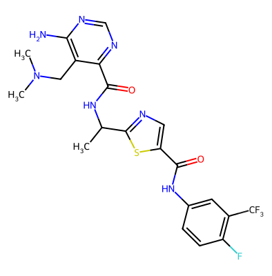 CC(NC(=O)c1ncnc(N)c1CN(C)C)c1ncc(C(=O)Nc2ccc(F)c(C(F)(F)F)c2)s1